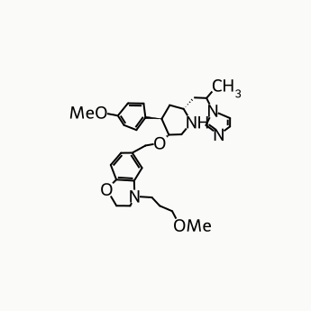 COCCCN1CCOc2ccc(CO[C@H]3CN[C@@H](CC(C)n4ccnc4)C[C@@H]3c3ccc(OC)cc3)cc21